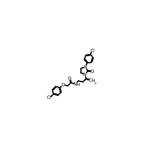 C=C(CCNC(=O)COc1ccc(Cl)cc1)N1CCN(c2ccc(Cl)cc2)C1=O